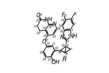 Cc1cc2[nH]c([C@@]34C[C@H]3[C@H]4c3cc(Oc4ccnc5c4CCC(=O)N5)ccc3O)nc2cc1F